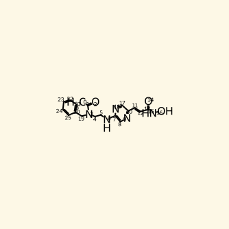 CC(=O)N(CCNc1cnc(/C=C/C(=O)NO)cn1)Cc1ccccc1